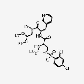 CCOC(CN(C(=O)C(Cc1cccnc1)NC(=O)C(CNS(=O)(=O)c1ccc(Cl)cc1Cl)NC(=O)O)C(C)C)OCC